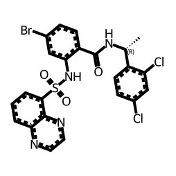 C[C@@H](NC(=O)c1ccc(Br)cc1NS(=O)(=O)c1cccc2nccnc12)c1ccc(Cl)cc1Cl